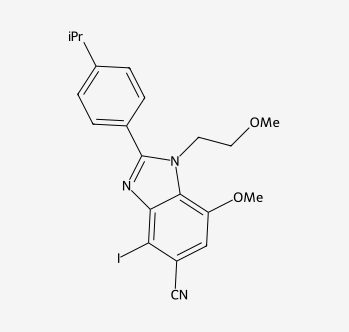 COCCn1c(-c2ccc(C(C)C)cc2)nc2c(I)c(C#N)cc(OC)c21